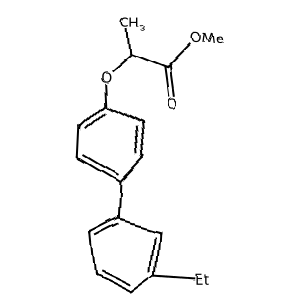 CCc1cccc(-c2ccc(OC(C)C(=O)OC)cc2)c1